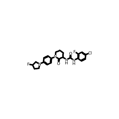 O=C(Nc1ccc(Cl)cc1F)NC1CCCN(c2ccc(N3CCC(F)C3)cc2)C1=O